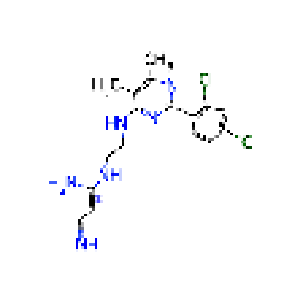 Cc1nc(-c2ccc(Cl)cc2Cl)nc(NCCN/C(N)=C/C=N)c1C